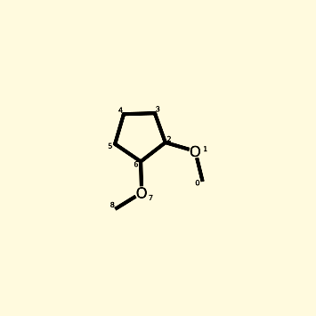 CO[C]1CCCC1OC